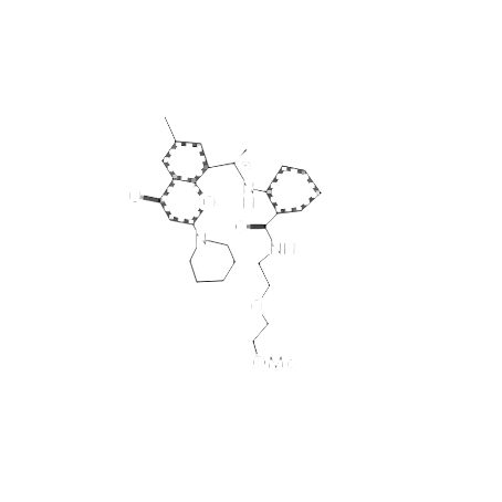 COCCOCCNC(=O)c1ccccc1N[C@H](C)c1cc(C)cc2c(=O)cc(N3CCCCC3)oc12